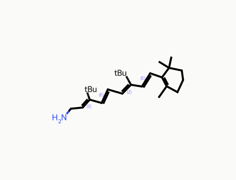 CC1=C(/C=C/C(=C/C=C/C(=C/CN)C(C)(C)C)C(C)(C)C)C(C)(C)CCC1